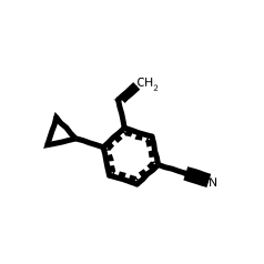 C=[C]c1cc(C#N)ccc1C1CC1